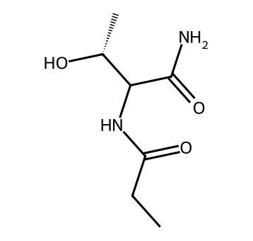 CCC(=O)NC(C(N)=O)[C@@H](C)O